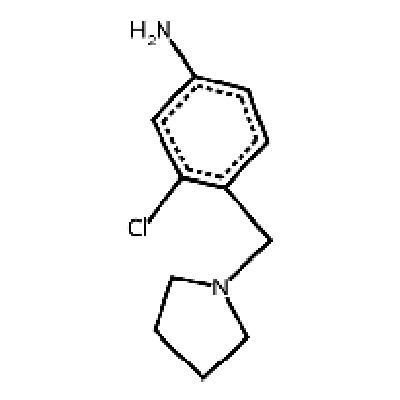 Nc1ccc(CN2CCCC2)c(Cl)c1